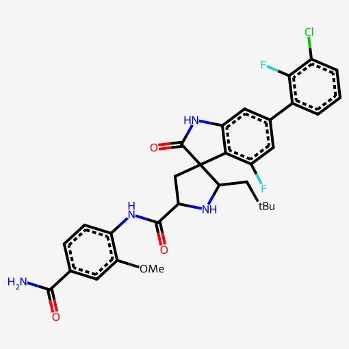 COc1cc(C(N)=O)ccc1NC(=O)C1CC2(C(=O)Nc3cc(-c4cccc(Cl)c4F)cc(F)c32)C(CC(C)(C)C)N1